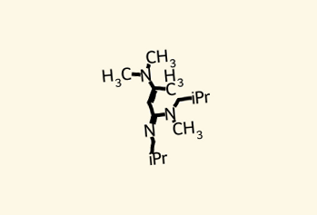 C/C(=C\C(=N\CC(C)C)N(C)CC(C)C)N(C)C